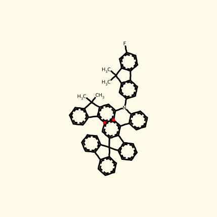 CC1(C)c2ccccc2-c2ccc(N(c3ccc4c(c3)C(C)(C)c3cc(F)ccc3-4)c3ccccc3-c3cccc4c3-c3ccccc3C43c4ccccc4-c4ccccc43)cc21